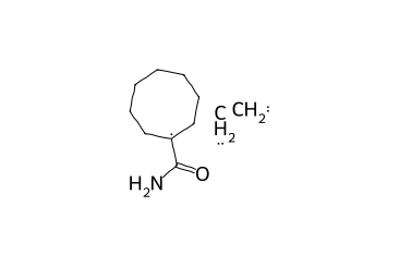 NC(=O)[C]1CCCCCCC1.[CH2].[CH2]